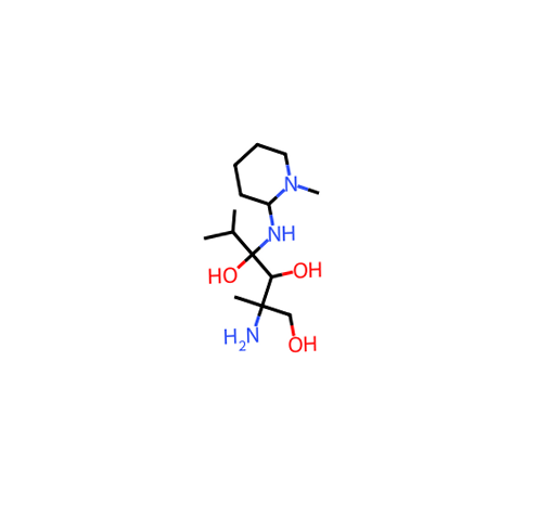 CC(C)C(O)(NC1CCCCN1C)C(O)C(C)(N)CO